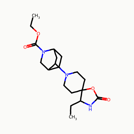 CCOC(=O)N1CC2CCC1CC2N1CCC2(CC1)OC(=O)NC2CC